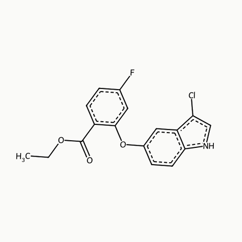 CCOC(=O)c1ccc(F)cc1Oc1ccc2[nH]cc(Cl)c2c1